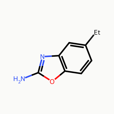 CCc1ccc2oc(N)nc2c1